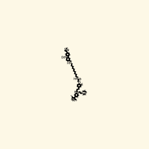 CCn1c2ccc(CNCCCCCCCCCCCNC(=O)COc3ccc(CCc4nc5cc(-c6c(C)noc6C)ccc5n4CCN4CCOCC4)cc3F)cc2c2ccc(-c3cscn3)cc21